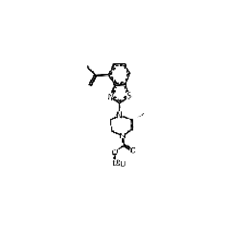 C=C(C)c1cccc2sc(N3CCN(C(=O)OC(C)(C)C)C[C@H]3C)nc12